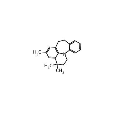 Cc1cc2c3c(c1)C(C)(C)CCN3c1ccccc1CC2